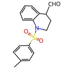 Cc1ccc(S(=O)(=O)N2CCC(C=O)c3ccccc32)cc1